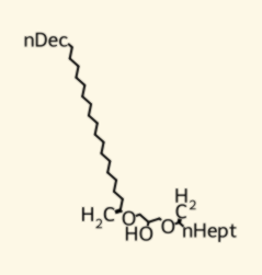 C=C(CCCCCCC)OCC(O)COC(=C)CCCCCCCCCCCCCCCCCCCCCCCCCCC